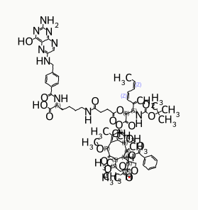 C=C(/C=C\C=C/C)[C@H](NC(=O)OC(C)(C)C)[C@@H](OC(=O)CCC(=O)NCCCC[C@H](NC(=O)c1ccc(CNc2cnc3nc(N)nc(O)c3n2)cc1)C(=O)O)C(=O)O[C@H]1C[C@]2(O)C(C)(C)C(=C1C)[C@@H](OC)C(=O)[C@]1(C)[C@@H](OC)C[C@H]3OC[C@@]3(OC(C)=O)[C@H]1[C@@]2(C)OC(=O)c1ccccc1